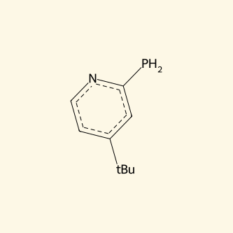 CC(C)(C)c1ccnc(P)c1